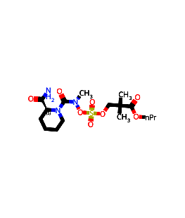 CCCOC(=O)C(C)(C)COS(=O)(=O)ON(C)C(=O)N1CCCC[C@H]1C(N)=O